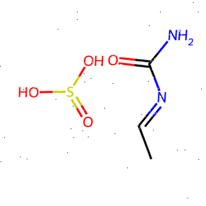 CC=NC(N)=O.O=S(O)O